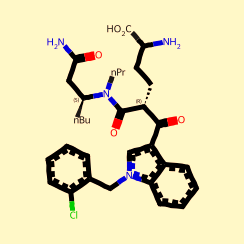 CCCC[C@@H](CC(N)=O)N(CCC)C(=O)[C@H](CCC(N)C(=O)O)C(=O)c1cn(Cc2ccccc2Cl)c2ccccc12